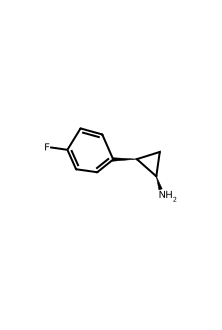 N[C@@H]1C[C@@H]1c1ccc(F)cc1